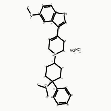 COc1ccc2[nH]cc(C3=CCN(C4CCC(c5ccccc5)(N(C)C)CC4)CC3)c2c1.Cl.Cl